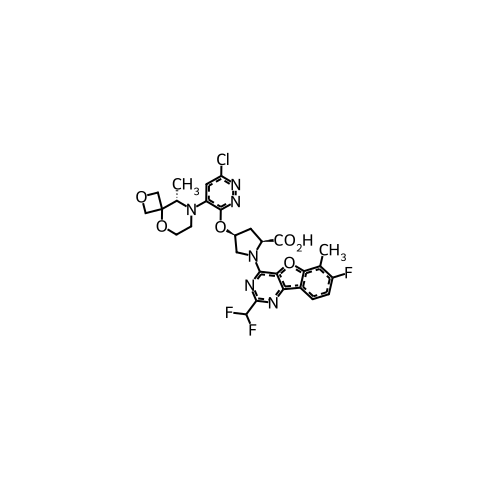 Cc1c(F)ccc2c1oc1c(N3C[C@@H](Oc4nnc(Cl)cc4N4CCOC5(COC5)[C@@H]4C)C[C@H]3C(=O)O)nc(C(F)F)nc12